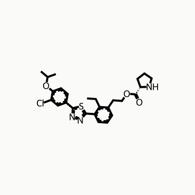 CCc1c(CCOC(=O)[C@@H]2CCCN2)cccc1-c1nnc(-c2ccc(OC(C)C)c(Cl)c2)s1